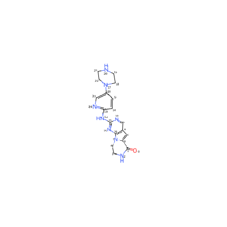 O=C1NCCn2c1cc1cnc(Nc3ccc(N4CCNCC4)cn3)nc12